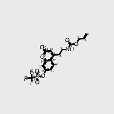 C=CCOC(=O)NCCc1cc(=O)oc2cc(OS(=O)(=O)C(F)(F)F)ccc12